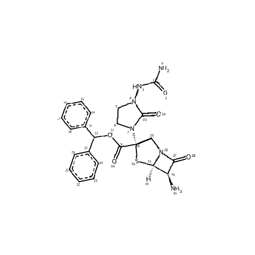 NC(=O)NN1CCN([C@]2(C(=O)OC(c3ccccc3)c3ccccc3)CN3C(=O)[C@@H](N)[C@H]3S2)C1=O